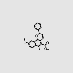 COC(=O)c1c2c(c3cc(OC)ccc3c1C)OC(c1ccccc1)C=C2